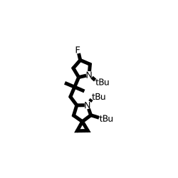 CC(C)(C)C1N(C(C)(C)C)C(CC(C)(C)C2CC(F)CN2C(C)(C)C)CC12CC2